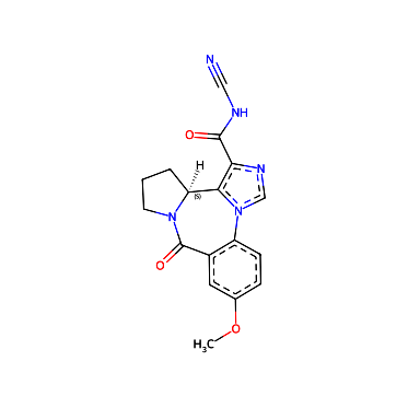 COc1ccc2c(c1)C(=O)N1CCC[C@H]1c1c(C(=O)NC#N)ncn1-2